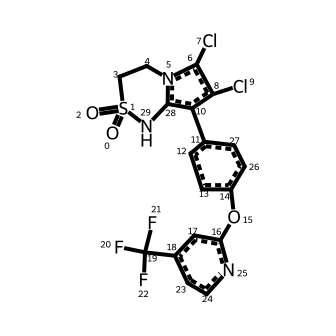 O=S1(=O)CCn2c(Cl)c(Cl)c(-c3ccc(Oc4cc(C(F)(F)F)ccn4)cc3)c2N1